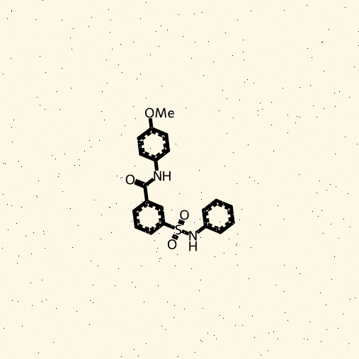 COc1ccc(NC(=O)c2cccc(S(=O)(=O)Nc3ccccc3)c2)cc1